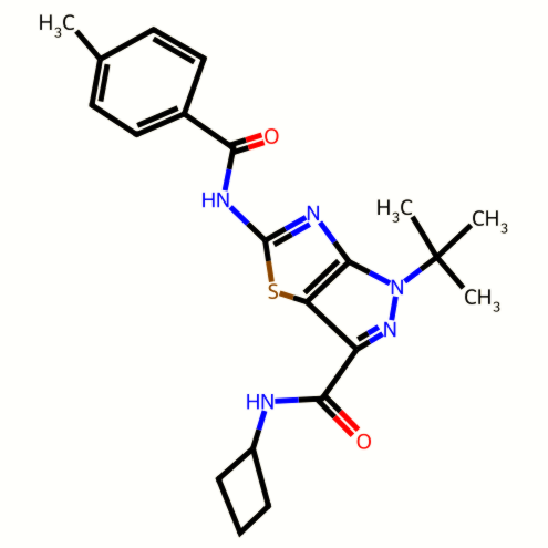 Cc1ccc(C(=O)Nc2nc3c(s2)c(C(=O)NC2CCC2)nn3C(C)(C)C)cc1